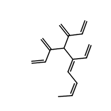 C=CC(=C)C(C(=C)C=C)/C(C=C)=C/C=C\C